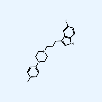 Cc1ccc(N2CCN(CCCc3c[nH]c4ccc(F)cc34)CC2)cc1